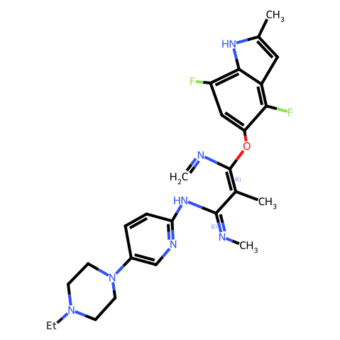 C=N/C(Oc1cc(F)c2[nH]c(C)cc2c1F)=C(C)\C(=N/C)Nc1ccc(N2CCN(CC)CC2)cn1